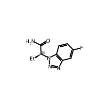 CC[C@@H](C(N)=O)n1nnc2cc(F)ccc21